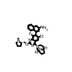 CN1CCC[C@H]1COc1nc(N2CC[C@H]3CC[C@@H](C2)N3)c2cc(Cl)c(-c3cc(N)cc4ccccc34)c(F)c2n1